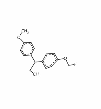 CCC(c1ccc(OC)cc1)c1ccc(OCF)cc1